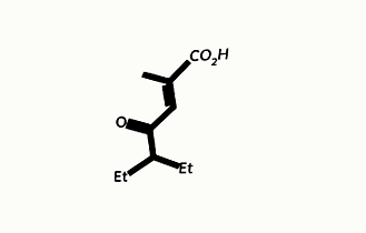 CCC(CC)C(=O)C=C(C)C(=O)O